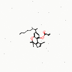 CCCCCC(C)C(C)c1cc(OC(=O)CC)c2c(c1)OC(C)(C)C1=C2C(C)CC1